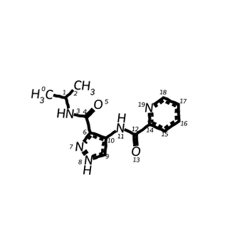 CC(C)NC(=O)c1n[nH]cc1NC(=O)c1ccccn1